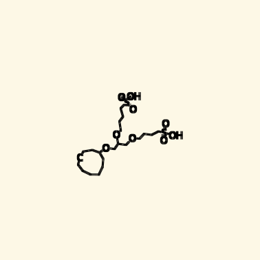 O=S(=O)(O)CCCCOCC(COC1CCCCCCCCC1)OCCCCS(=O)(=O)O